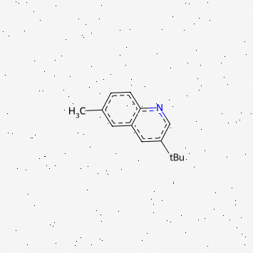 Cc1ccc2ncc(C(C)(C)C)cc2c1